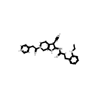 CCOc1ccccc1CCC(=O)NC1SC2=C(CCN(C(=O)Cc3ccncc3)C2)C1C#N